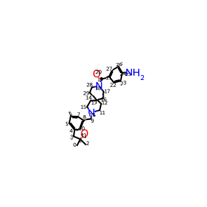 CC1(C)Cc2cccc(CN3CCC4(CC3)CCN(C(=O)c3ccc(N)cc3)CC4)c2O1